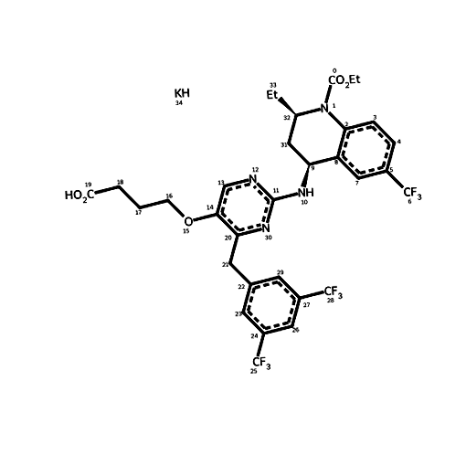 CCOC(=O)N1c2ccc(C(F)(F)F)cc2[C@@H](Nc2ncc(OCCCC(=O)O)c(Cc3cc(C(F)(F)F)cc(C(F)(F)F)c3)n2)C[C@H]1CC.[KH]